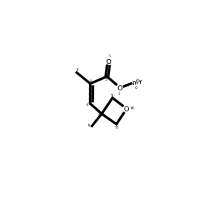 CCCOC(=O)C(C)=CC1(C)COC1